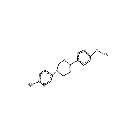 COc1ccc(N2CCN(c3ccc(N)nc3)CC2)cc1